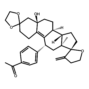 C=C1CCO[C@]12CC[C@H]1[C@@H]3CC[C@@]4(O)CC5(CCC4=C3[C@@H](c3ccc(C(C)=O)cc3)C[C@@]12C)OCCO5